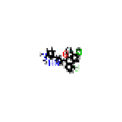 CN(C)c1cccc(-c2cc(C(c3cccc(Cl)c3)C(OC=O)c3cccc(Cl)c3F)c[nH]2)c1